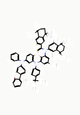 Cc1cc2c3c(c1)N(c1ccc4c(c1)C(C)(C)CCC4(C)C)c1c(sc4cc5c(cc14)C(C)(C)CCC5(C)C)B3c1ccc(N(c3ccccc3)c3ccc4c(c3)oc3ccccc34)cc1N2c1ccc(C(C)(C)C)cc1